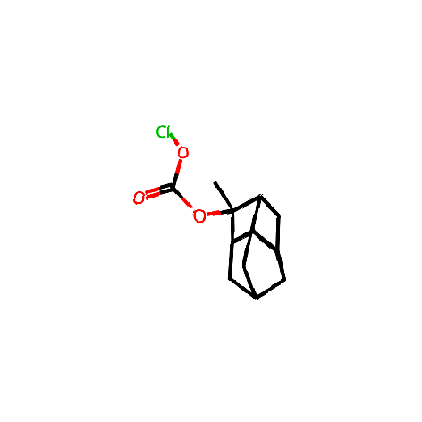 CC1(OC(=O)OCl)C2CC3CC(C2)CC1C3